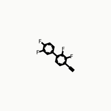 C#Cc1ccc(-c2ccc(F)c(F)c2)c(F)c1F